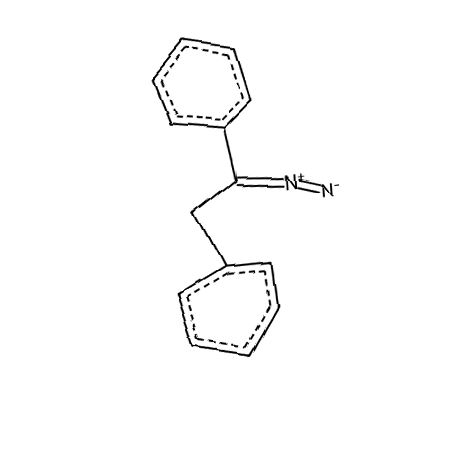 [N-]=[N+]=C(Cc1ccccc1)c1ccccc1